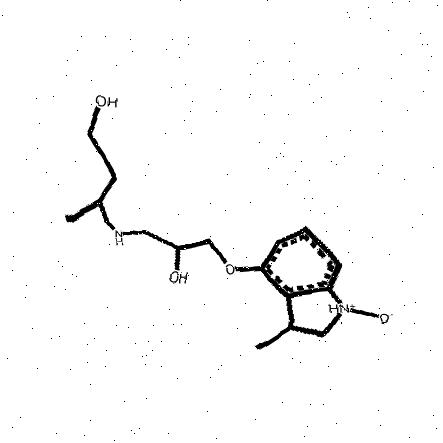 CC(CCO)NCC(O)COc1cccc2c1C(C)C[NH+]2[O-]